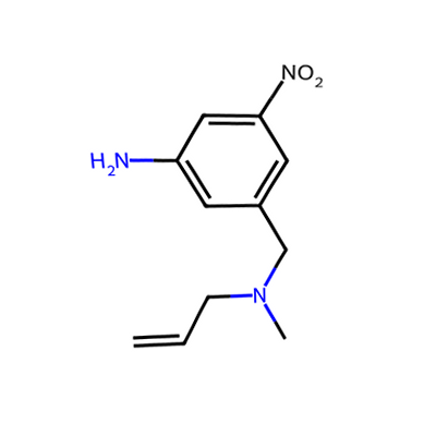 C=CCN(C)Cc1cc(N)cc([N+](=O)[O-])c1